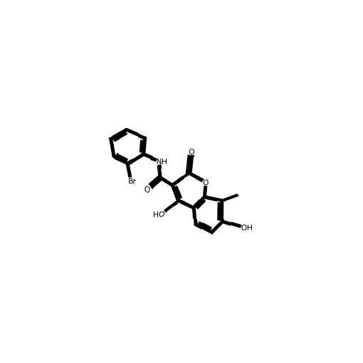 Cc1c(O)ccc2c(O)c(C(=O)Nc3ccccc3Br)c(=O)oc12